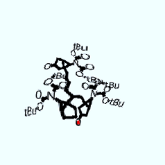 CC(C)(C)OC(=O)N(C(=O)OC(C)(C)C)C1C2CC(=O)CC21CCCCC(CC12CC(=O)CC1C2N(C(=O)OC(C)(C)C)C(=O)OC(C)(C)C)C12CC(=O)CC1C2N(C(=O)OC(C)(C)C)C(=O)OC(C)(C)C